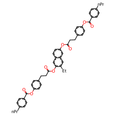 CCCc1ccc(C(=O)Oc2ccc(CCC(=O)Oc3ccc4cc(OC(=O)CCc5ccc(OC(=O)c6ccc(CCC)cc6)cc5)c(CC)cc4c3)cc2)cc1